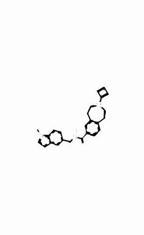 Cn1ccc2cc(CNC(=O)c3ccc4c(c3)CCN(C3=CC=C3)CC4)ccc21